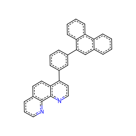 c1cc(-c2cc3ccccc3c3ccccc23)cc(-c2ccnc3c2ccc2cccnc23)c1